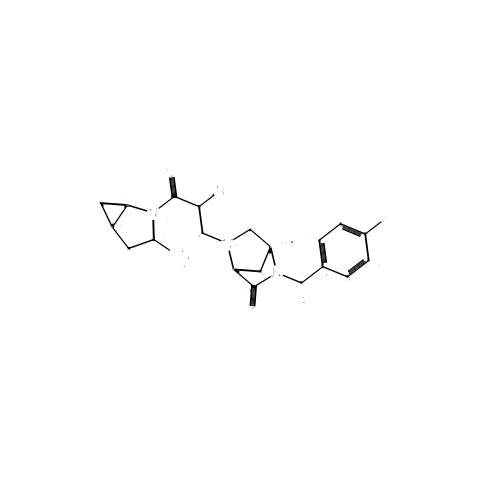 C=C(C(N)CN1C[C@@H]2CC1C(=O)N2[C@H](c1ccc(F)cc1)C(C)C)N1C(C#N)CC2CC21